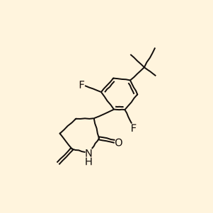 C=C1CCC(c2c(F)cc(C(C)(C)C)cc2F)C(=O)N1